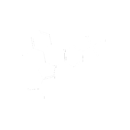 CS(=O)(=O)c1ccc(-n2nc(C(F)F)cc2-c2ccccc2Cl)nc1